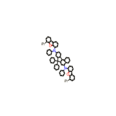 CC(C)c1cccc2c1oc1c(N(c3ccccc3)c3ccc4c(c3)C(c3ccccc3)(c3ccccc3)c3cc(N(c5ccccc5)c5cccc6c5oc5c(C(C)C)cccc56)c5ccccc5c3-4)cccc12